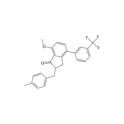 COc1ccc(-c2cccc(C(F)(F)F)c2)c2c1C(=O)C(Cc1ccc(C)cc1)C2